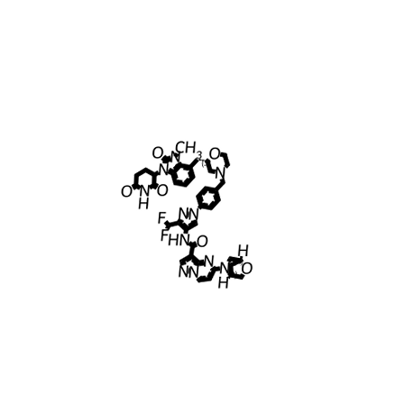 Cn1c(=O)n(C2CCC(=O)NC2=O)c2cccc(C[C@H]3CN(Cc4ccc(-n5cc(NC(=O)c6cnn7ccc(N8C[C@H]9C[C@@H]8CO9)nc67)c(C(F)F)n5)cc4)CCO3)c21